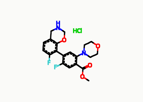 COC(=O)c1cc(F)c(-c2c(F)ccc3c2OCNC3)cc1N1CCOCC1.Cl